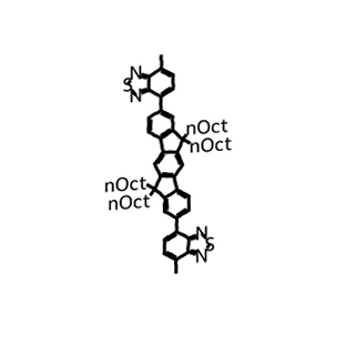 CCCCCCCCC1(CCCCCCCC)c2cc(-c3ccc(C)c4nsnc34)ccc2-c2cc3c(cc21)-c1ccc(-c2ccc(C)c4nsnc24)cc1C3(CCCCCCCC)CCCCCCCC